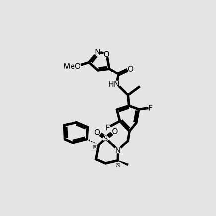 COc1cc(C(=O)NC(C)c2cc(F)c(CN3[C@@H](C)CC[C@H](c4ccccc4)S3(=O)=O)cc2F)on1